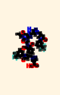 CCCn1c(=O)c2[nH]c(-c3cnn(CC4CC(=O)N(c5cccc(C(F)(F)F)c5)C4)c3)nc2n(CCN2C(=O)c3ccccc3C2=O)c1=O.O=C(O)c1cnn(CC2CC(=O)N(c3cccc(C(F)(F)F)c3)C2)c1